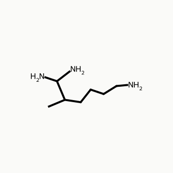 CC(CCCCN)C(N)N